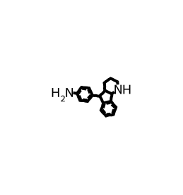 Nc1ccc(C2c3ccccc3C3NCCCC32)cc1